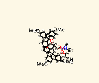 COc1ccc(C(CCC(C)(COP(OCCC#N)N(C(C)C)C(C)C)COC(c2ccccc2)(c2ccc(OC)cc2)c2ccc(OC)cc2)(c2ccccc2)c2ccc(OC)cc2)cc1